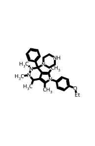 CCOc1ccc(-n2c(C)c3c(c2C)C(c2ccccc2)(N2CCNCC2)N(C)N(C)C3C)cc1